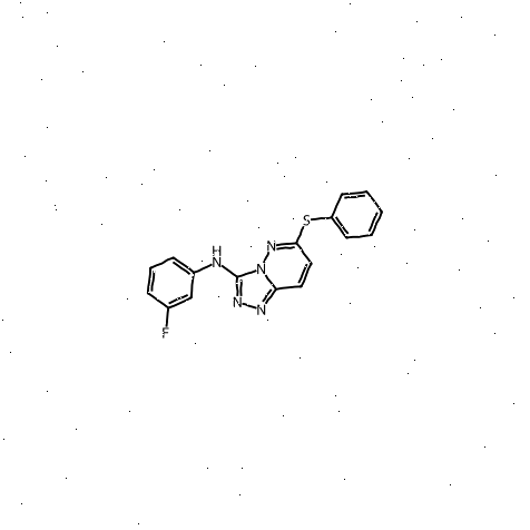 Fc1cccc(Nc2nnc3ccc(Sc4ccccc4)nn23)c1